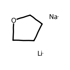 C1CCOC1.[Li].[Na]